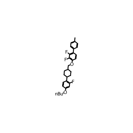 CCCCOc1ccc(C2CCC(COc3ccc(-c4ccc(C)cc4)c(F)c3F)CC2)c(F)c1